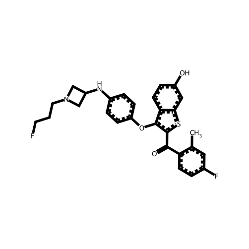 Cc1cc(F)ccc1C(=O)c1sc2cc(O)ccc2c1Oc1ccc(NC2CN(CCCF)C2)cc1